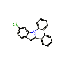 Clc1ccc2cc3c4ccccc4c4ccccc4n3c2c1